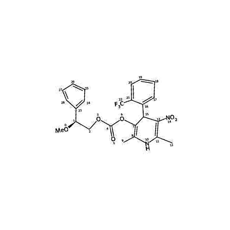 CO[C@H](COC(=O)OC1=C(C)NC(C)=C([N+](=O)[O-])C1c1ccccc1C(F)(F)F)c1ccccc1